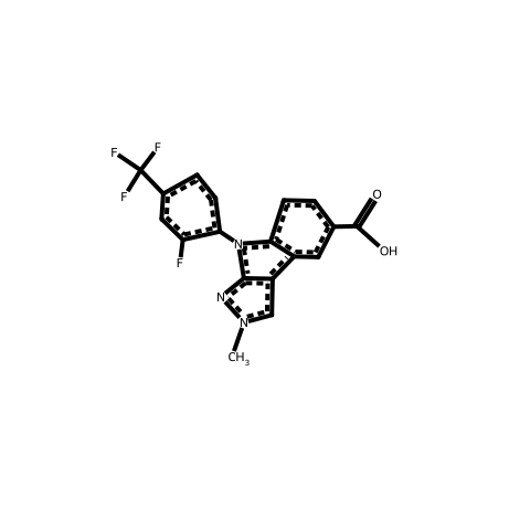 Cn1cc2c3cc(C(=O)O)ccc3n(-c3ccc(C(F)(F)F)cc3F)c2n1